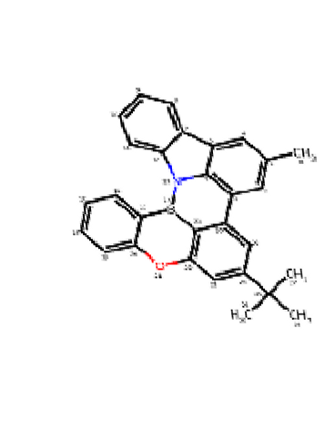 Cc1cc2c3c(c1)c1ccccc1n3B1c3ccccc3Oc3cc(C(C)(C)C)cc-2c31